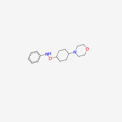 c1ccc(NOC2CCC(N3CCOCC3)CC2)cc1